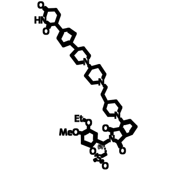 CCOc1cc([C@@H](CS(C)(=O)=O)N2C(=O)c3cccc(N4CCC(CCN5CCC(N6CCC(c7ccc(C8CCC(=O)NC8=O)cc7)CC6)CC5)CC4)c3C2=O)ccc1OC